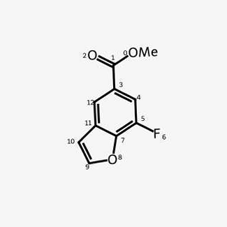 COC(=O)c1cc(F)c2occc2c1